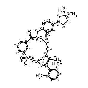 Cc1cccc(C)c1-c1nc2nc(c1C)OC[C@@H](C(C)C)N(Cc1ncc(N3CCC(C)(C)C3)cn1)C(=O)c1cccc(c1)S(=O)(=O)N2